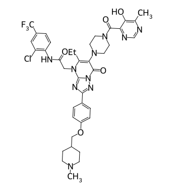 CCc1c(N2CCN(C(=O)c3ncnc(C)c3O)CC2)c(=O)n2nc(-c3ccc(OCC4CCN(C)CC4)cc3)nc2n1CC(=O)Nc1ccc(C(F)(F)F)cc1Cl